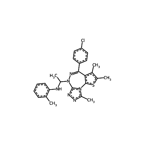 Cc1ccccc1NC(C)N1N=C(c2ccc(Cl)cc2)c2c(sc(C)c2C)-n2c(C)nnc21